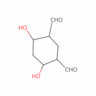 O=CC1CC(C=O)C(O)CC1O